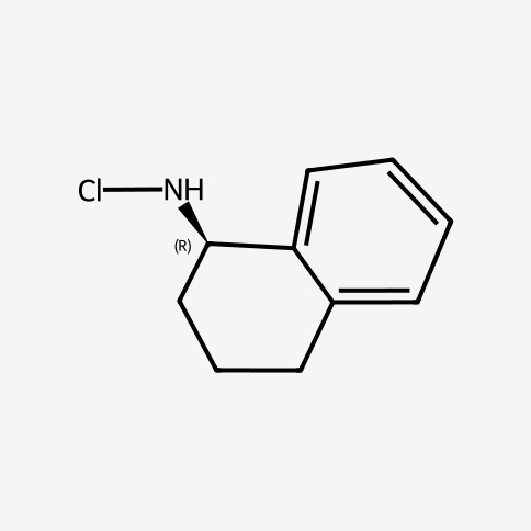 ClN[C@@H]1CCCc2ccccc21